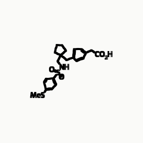 CSc1ccc(S(=O)(=O)NCC2(Cc3ccc(CC(=O)O)cc3)CCCC2)cc1